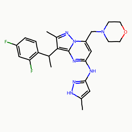 Cc1cc(Nc2cc(CN3CCOCC3)n3nc(C)c(C(C)c4ccc(F)cc4F)c3n2)n[nH]1